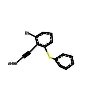 CCCCCCC#Cc1c(CC)cccc1Sc1ccccc1